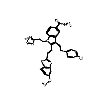 COc1ccc2sc(CCc3c(CCc4ccc(Cl)cc4)c4cc(C(N)=O)ccc4n3CCc3nn[nH]n3)nc2c1